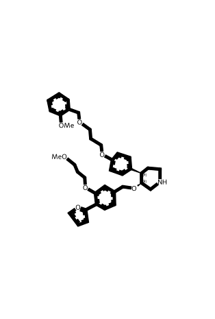 COCCCOc1cc(CO[C@H]2CNCC[C@@H]2c2ccc(OCCCOCc3ccccc3OC)cc2)ccc1-c1ccco1